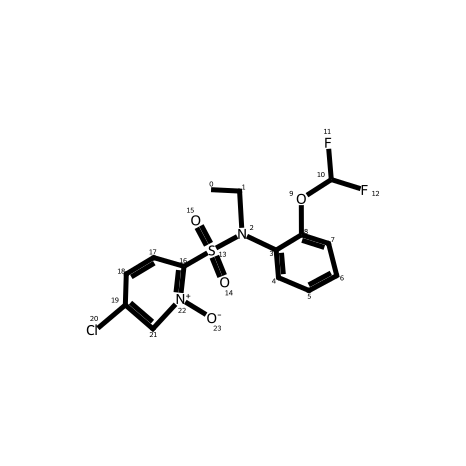 CCN(c1ccccc1OC(F)F)S(=O)(=O)c1ccc(Cl)c[n+]1[O-]